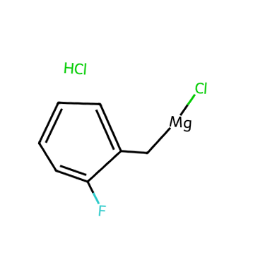 Cl.Fc1ccccc1[CH2][Mg][Cl]